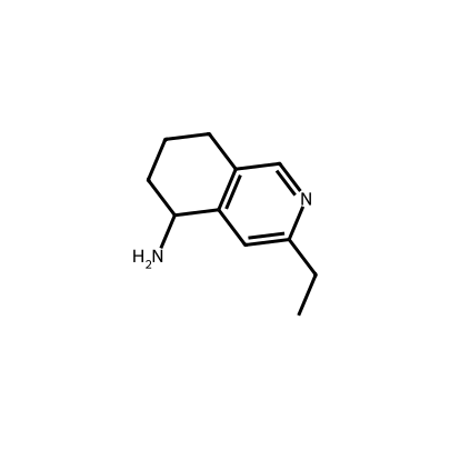 CCc1cc2c(cn1)CCCC2N